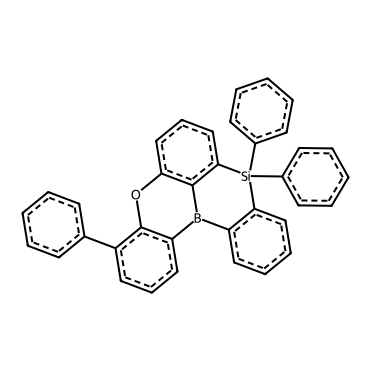 c1ccc(-c2cccc3c2Oc2cccc4c2B3c2ccccc2[Si]4(c2ccccc2)c2ccccc2)cc1